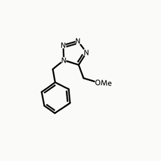 COCc1nnnn1Cc1ccccc1